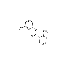 Cc1cccc(OC(=O)c2ccccc2C)n1